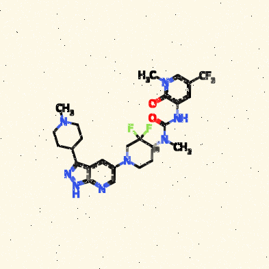 CN1CCC(c2n[nH]c3ncc(N4CC[C@@H](N(C)C(=O)Nc5cc(C(F)(F)F)cn(C)c5=O)C(F)(F)C4)cc23)CC1